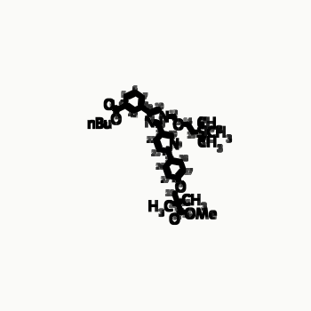 CCCCOC(=O)c1cccc(-c2cn(COCC[Si](C)(C)C)c(-c3ccc(-c4ccc(OCC(C)(C)C(=O)OC)cc4)nc3)n2)c1